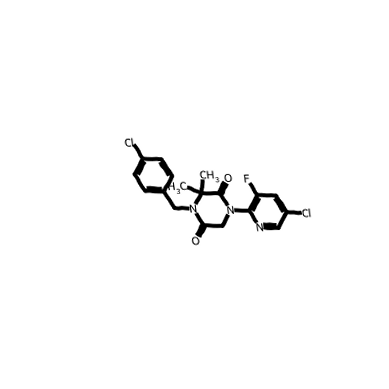 CC1(C)C(=O)N(c2ncc(Cl)cc2F)CC(=O)N1Cc1ccc(Cl)cc1